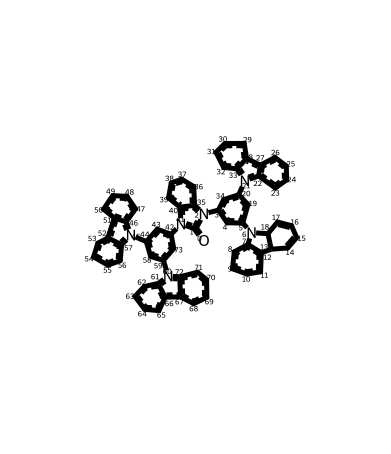 O=c1n(-c2cc(N3c4ccccc4C4C=CC=CC43)cc(-n3c4ccccc4c4ccccc43)c2)c2ccccc2n1-c1cc(-n2c3ccccc3c3ccccc32)cc(-n2c3ccccc3c3ccccc32)c1